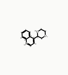 c1ccc2c(C3COCCO3)ccnc2c1